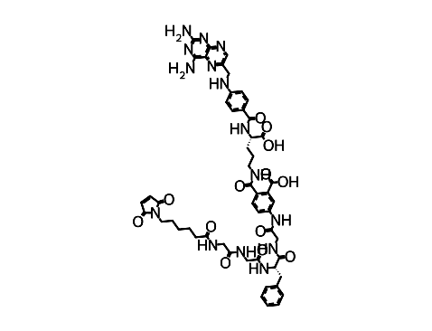 Nc1nc(N)c2nc(CNc3ccc(C(=O)N[C@@H](CCCNC(=O)c4ccc(NC(=O)CNC(=O)[C@H](Cc5ccccc5)NC(=O)CNC(=O)CNC(=O)CCCCCN5C(=O)C=CC5=O)cc4C(=O)O)C(=O)O)cc3)cnc2n1